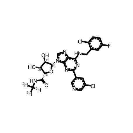 [2H]C([2H])([2H])NC(=O)[C@H]1O[C@@H](n2cnc3c(NCc4cc(F)ccc4Cl)nc(-c4cncc(Cl)c4)nc32)[C@H](O)[C@@H]1O